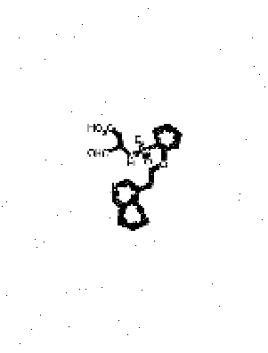 O=CC(CC(=O)O)NS(=O)(=O)c1ccccc1OCCc1cncc2ccccc12